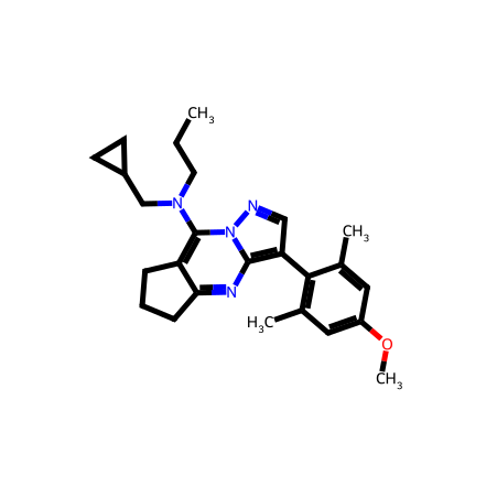 CCCN(CC1CC1)c1c2c(nc3c(-c4c(C)cc(OC)cc4C)cnn13)CCC2